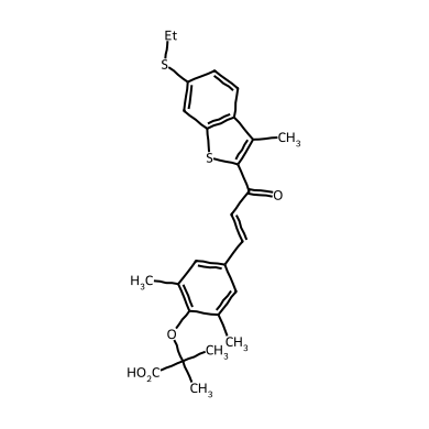 CCSc1ccc2c(C)c(C(=O)C=Cc3cc(C)c(OC(C)(C)C(=O)O)c(C)c3)sc2c1